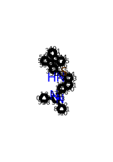 c1ccc(-c2cc(-c3ccccc3)nc(-c3ccc4c(ccc5ccc6c(c54)NC(c4ccc5c(c4)C4(c7ccccc7-c7ccccc74)c4ccccc4-5)S6)c3)n2)cc1